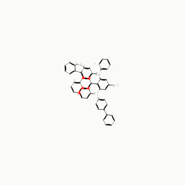 CC(C)(C)c1cc(N(c2ccccc2)c2ccc(-c3ccccc3)cc2)c(-c2ccc3ccccc3c2)c(N(c2ccccc2)c2ccc3c(c2)sc2ccccc23)c1